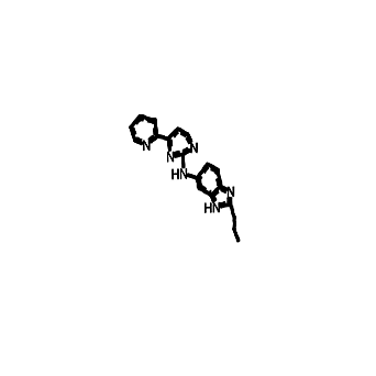 CCCc1nc2ccc(Nc3nccc(-c4ccccn4)n3)cc2[nH]1